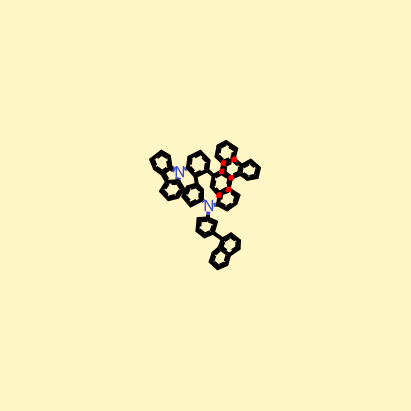 c1ccc(-c2ccccc2-c2cccc(-n3c4ccccc4c4ccccc43)c2-c2cccc(N(c3cccc(-c4cccc5ccccc45)c3)c3cccc(-c4cccc5ccccc45)c3)c2)cc1